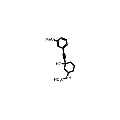 COc1cccc(C#CC2(O)CCCC(NC(=O)O)C2)c1